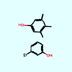 CCc1cccc(O)c1.Cc1cc(O)cc(C)c1C